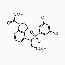 CNC(=O)N1CCc2c1cccc2N(CC(=O)O)S(=O)(=O)c1cc(Cl)cc(Cl)c1